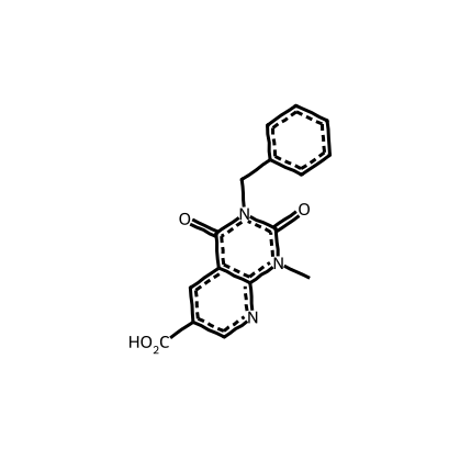 Cn1c(=O)n(Cc2ccccc2)c(=O)c2cc(C(=O)O)cnc21